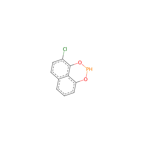 Clc1ccc2cccc3c2c1OPO3